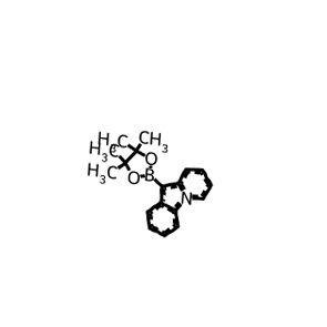 CC1(C)OB(c2c3ccccc3n3ccccc23)OC1(C)C